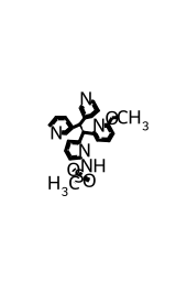 COc1cccc([C@@H](c2cccc(NS(C)(=O)=O)n2)C(c2cccnc2)c2cccnc2)n1